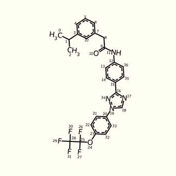 CC(C)c1cccc(CC(=O)Nc2ccc(-c3ncn(-c4ccc(OC(F)(F)C(F)(F)F)cc4)n3)cc2)c1